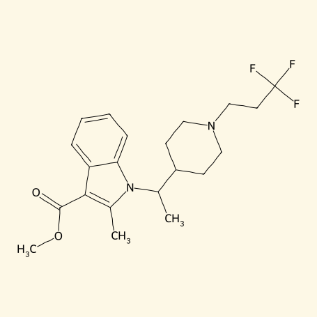 COC(=O)c1c(C)n(C(C)C2CCN(CCC(F)(F)F)CC2)c2ccccc12